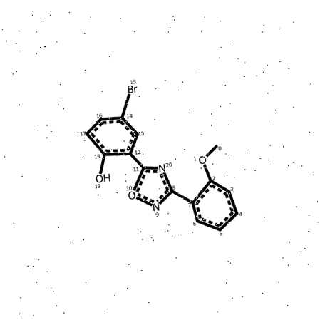 COc1ccccc1-c1noc(-c2cc(Br)ccc2O)n1